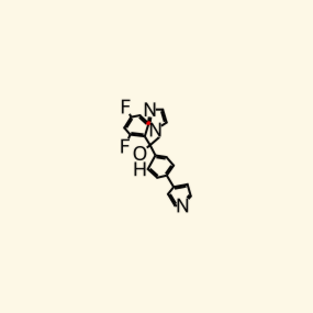 OC(Cn1ccnc1)(c1ccc(-c2ccncc2)cc1)c1ccc(F)cc1F